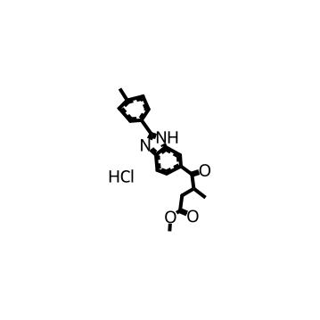 COC(=O)CC(C)C(=O)c1ccc2nc(-c3ccc(C)cc3)[nH]c2c1.Cl